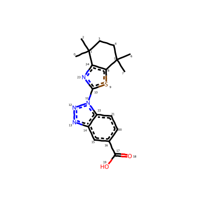 CC1(C)CCC(C)(C)c2sc(-n3nnc4cc(C(=O)O)ccc43)nc21